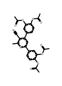 CC(=O)Oc1ccc(-c2cc(-c3ccc(OC(C)=O)c(OC(C)=O)c3)c(C#N)c(C)n2)cc1OC(C)=O